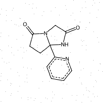 O=C1CN2C(=O)CCC2(c2ccccn2)N1